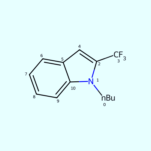 CCCCn1c(C(F)(F)F)cc2ccccc21